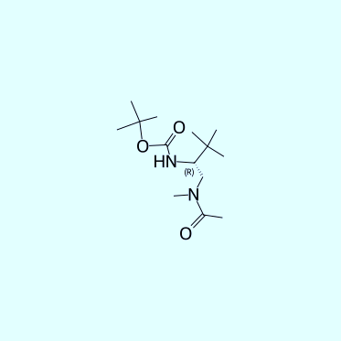 CC(=O)N(C)C[C@H](NC(=O)OC(C)(C)C)C(C)(C)C